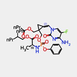 CCCC(=O)OCC1(CO[P@@](=O)(N[C@@H](C)C(=O)OCC(CCC)CCC)Oc2ccccc2)C/C1=C/n1cc(F)c(N)nc1=O